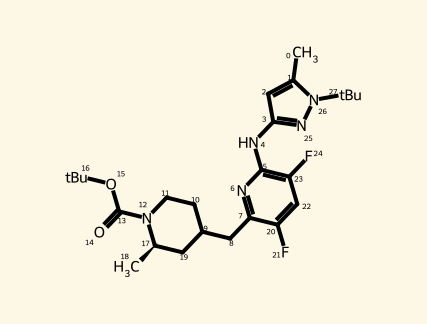 Cc1cc(Nc2nc(CC3CCN(C(=O)OC(C)(C)C)[C@H](C)C3)c(F)cc2F)nn1C(C)(C)C